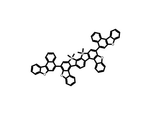 C[Si]1(C)c2cc(-c3cc4oc5ccccc5c4c4ccccc34)c3oc4ccccc4c3c2-c2ccc3c(c21)[Si](C)(C)c1cc(-c2cc4oc5ccccc5c4c4ccccc24)c2oc4ccccc4c2c1-3